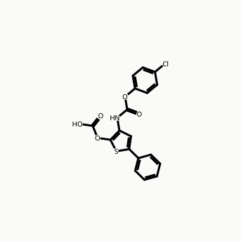 O=C(O)Oc1sc(-c2ccccc2)cc1NC(=O)Oc1ccc(Cl)cc1